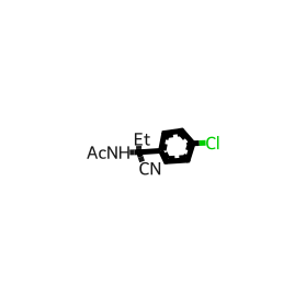 CCC(C#N)(NC(C)=O)c1ccc(Cl)cc1